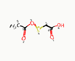 CC(=O)OSCC(=O)O